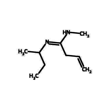 C=CC/C(=N\C(C)CC)NC